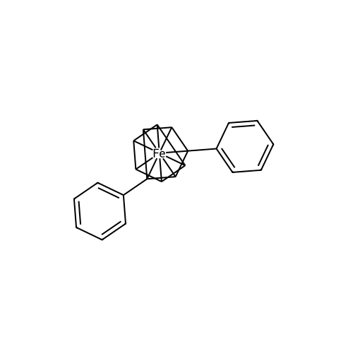 c1ccc([C]23[CH]4[CH]5[C]6(c7ccccc7)[CH]2[Fe]45362789[CH]3[CH]2[CH]7[CH]8[CH]39)cc1